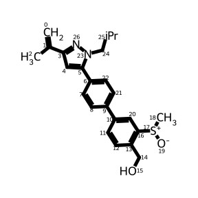 C=C(C)c1cc(-c2ccc(-c3ccc(CO)c([S+](C)[O-])c3)cc2)n(CC(C)C)n1